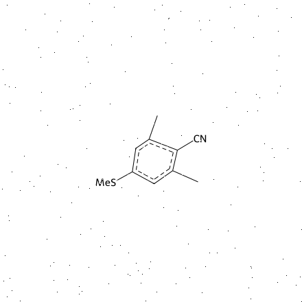 CSc1cc(C)c(C#N)c(C)c1